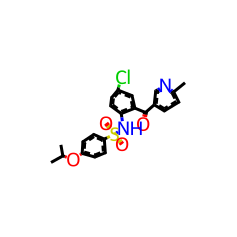 Cc1ccc(C(=O)c2cc(Cl)ccc2NS(=O)(=O)c2ccc(OC(C)C)cc2)cn1